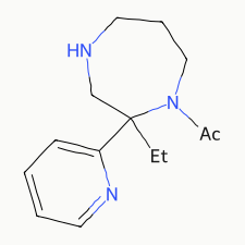 CCC1(c2ccccn2)CNCCCN1C(C)=O